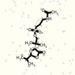 CC(=O)NCCCS(=O)(=O)OCC(C)(C)[C@H]1OC(C(C)C)OC1=O